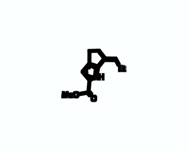 CCC=C1CCc2cc(C(=O)OC)[nH]c21